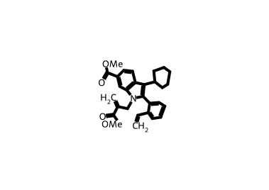 C=Cc1ccccc1-c1c(C2CCCCC2)c2ccc(C(=O)OC)cc2n1CC(=C)C(=O)OC